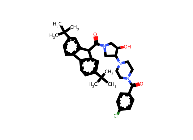 CC(C)(C)c1ccc2c(c1)C(C(=O)N1CC(O)C(N3CCN(C(=O)c4ccc(Cl)cc4)CC3)C1)c1cc(C(C)(C)C)ccc1-2